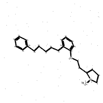 CN1CCCC1CCOc1ccccc1CCCCCc1ccccc1